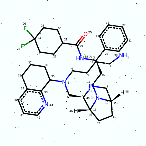 NCCCCN(C[C@H]1NC[C@@H]2CC[C@H]1N2CC[C@@H](NC(=O)C1CCC(F)(F)CC1)c1ccccc1)C1CCCc2cccnc21